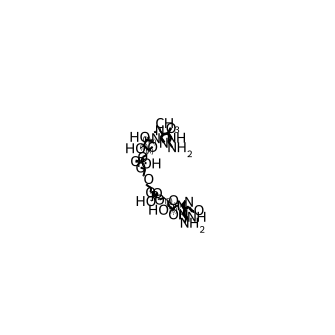 CN1CN([C@@H]2O[C@H](COP(=O)(O)OCCOCCOP(=O)(O)OC[C@H]3O[C@@H](n4cnc5c(=O)[nH]c(N)nc54)[C@H](O)[C@@H]3O)[C@@H](O)[C@H]2O)c2nc(N)[nH]c(=O)c21